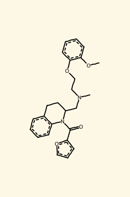 COc1ccccc1OCCN(C)CC1CCc2ccccc2N1C(=O)c1ccco1